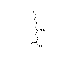 N.O=C(O)CCCCCCCF